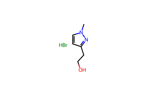 Br.Cn1ccc(CCO)n1